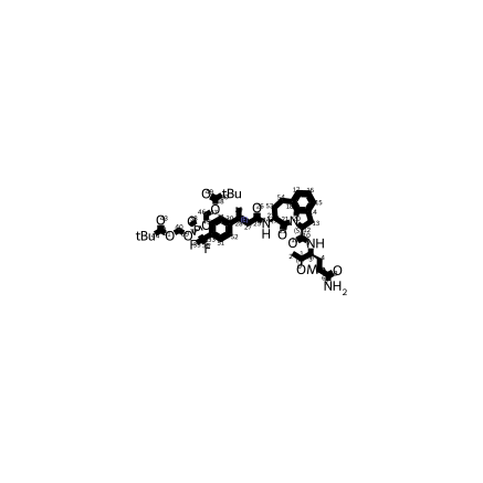 CO[C@H](C)[C@H](CCC(N)=O)NC(=O)[C@@H]1Cc2cccc3c2N1C(=O)[C@@H](NC(=O)/C=C(\C)c1ccc(C(F)(F)P(=O)(OCOC(=O)C(C)(C)C)OCOC(=O)C(C)(C)C)cc1)CC3